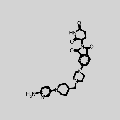 Nc1ccc(N2CCC(CN3CCN(c4ccc5c(c4)C(=O)N(C4CCC(=O)NC4=O)C5=O)CC3)CC2)cn1